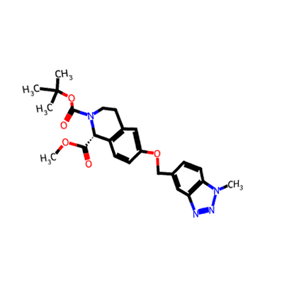 COC(=O)[C@H]1c2ccc(OCc3ccc4c(c3)nnn4C)cc2CCN1C(=O)OC(C)(C)C